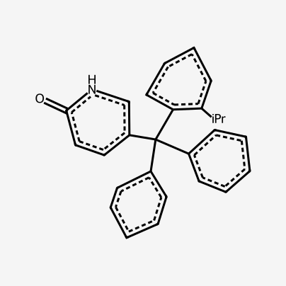 CC(C)c1ccccc1C(c1ccccc1)(c1ccccc1)c1ccc(=O)[nH]c1